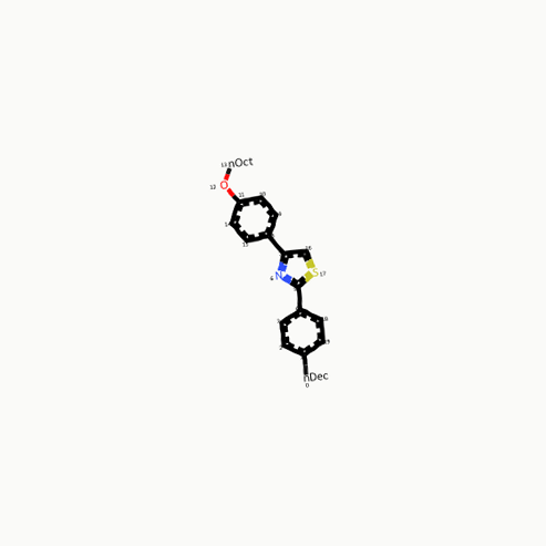 CCCCCCCCCCc1ccc(-c2nc(-c3ccc(OCCCCCCCC)cc3)cs2)cc1